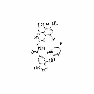 O=C(O)C[C@H](NC(=O)CNC(=O)c1cc(NC2=NCC(F)CN2)c2cn[nH]c2c1)c1cc(F)cc(C(F)(F)F)c1